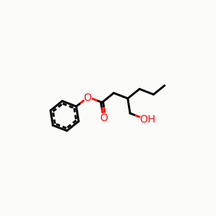 CCCC(CO)CC(=O)Oc1ccccc1